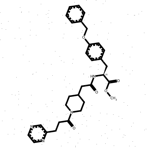 COC(=O)[C@H](Cc1ccc(OCc2ccccc2)cc1)NC(=O)CC1CCN(C(=O)CCc2cnccn2)CC1